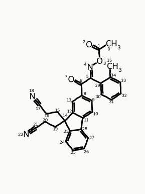 CC(=O)O/N=C(/C(=O)c1ccc2c(c1)C(CCC#N)(CCC#N)c1ccccc1-2)c1ccccc1C